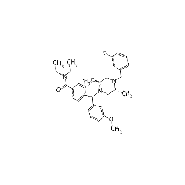 CCN(CC)C(=O)c1ccc(C(c2cccc(OC)c2)N2C[C@@H](C)N(Cc3cccc(F)c3)C[C@@H]2C)cc1